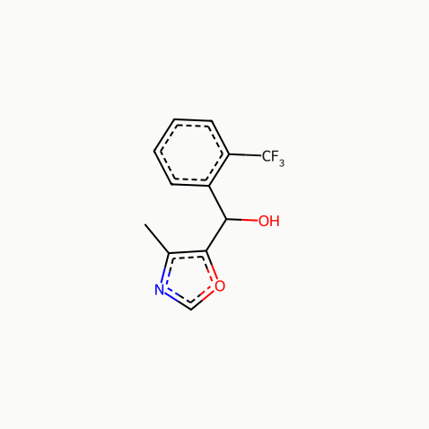 Cc1ncoc1C(O)c1ccccc1C(F)(F)F